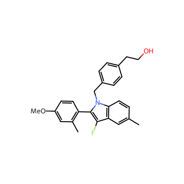 COc1ccc(-c2c(F)c3cc(C)ccc3n2Cc2ccc(CCO)cc2)c(C)c1